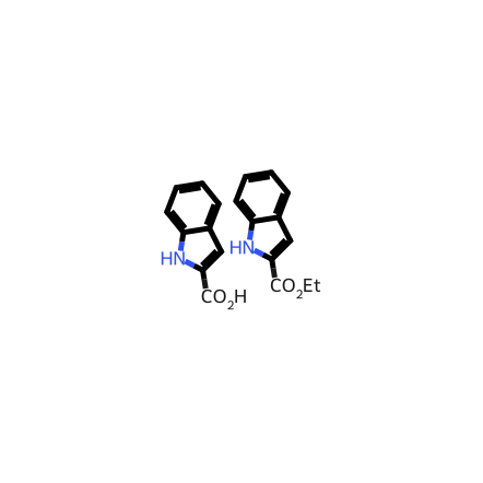 CCOC(=O)c1cc2ccccc2[nH]1.O=C(O)c1cc2ccccc2[nH]1